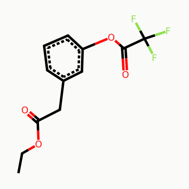 CCOC(=O)Cc1cccc(OC(=O)C(F)(F)F)c1